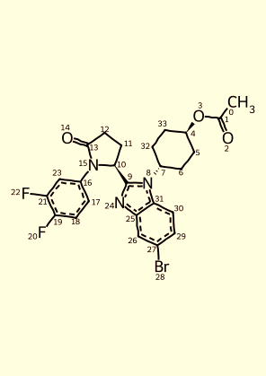 CC(=O)O[C@H]1CC[C@H](n2c([C@@H]3CCC(=O)N3c3ccc(F)c(F)c3)nc3cc(Br)ccc32)CC1